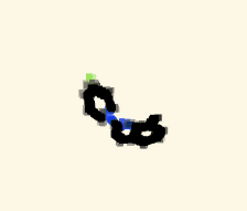 Cc1cccc2ccc(N3CC=CC(F)=CC3)nc12